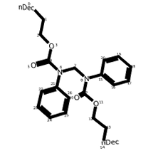 CCCCCCCCCCCCOC(=O)N(CN(C(=O)OCCCCCCCCCCCC)c1ccccc1)c1ccccc1